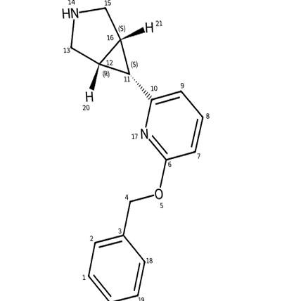 c1ccc(COc2cccc([C@@H]3[C@@H]4CNC[C@@H]43)n2)cc1